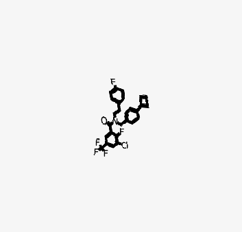 O=C(c1cc(C(F)(F)F)cc(Cl)c1F)N(CCc1ccc(F)cc1)Cc1ccc(C2CCC2)cc1